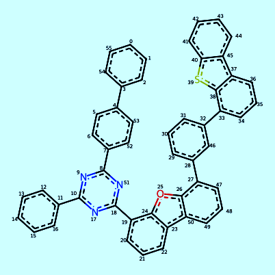 c1ccc(-c2ccc(-c3nc(-c4ccccc4)nc(-c4cccc5c4oc4c(-c6cccc(-c7cccc8c7sc7ccccc78)c6)cccc45)n3)cc2)cc1